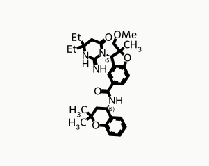 CCC1(CC)CC(=O)N([C@H]2c3cc(C(=O)N[C@H]4CC(C)(C)Oc5ccccc54)ccc3OC2(C)COC)C(=N)N1